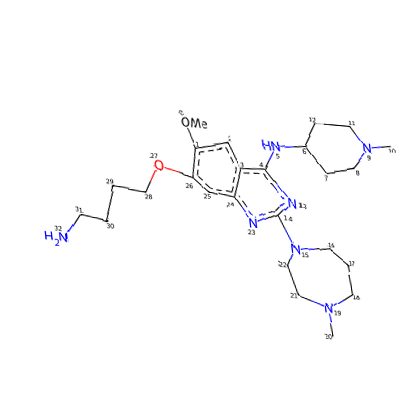 COc1cc2c(NC3CCN(C)CC3)nc(N3CCCN(C)CC3)nc2cc1OCCCCN